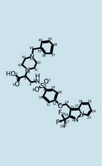 O=C(O)C(CNS(=O)(=O)c1ccc(OCc2c(C(F)(F)F)nn3ccccc23)cc1)N1CCN(Cc2ccccc2)CC1